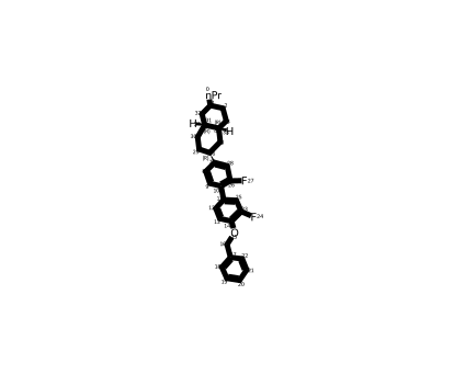 CCCC1CC[C@@H]2C[C@H](c3ccc(-c4ccc(OCc5ccccc5)c(F)c4)c(F)c3)CC[C@@H]2C1